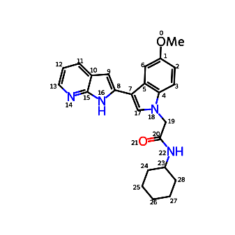 COc1ccc2c(c1)c(-c1cc3cccnc3[nH]1)cn2CC(=O)NC1CCCCC1